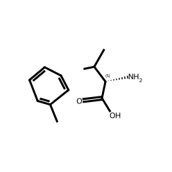 CC(C)[C@H](N)C(=O)O.Cc1ccccc1